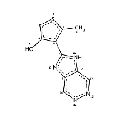 Cc1scc(O)c1-c1nc2cnncc2[nH]1